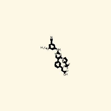 COc1cc(C#N)cc(Nc2ncc(-c3cccc(C=CC(=O)O)c3)c(-n3ccc(C(F)(F)F)n3)n2)c1